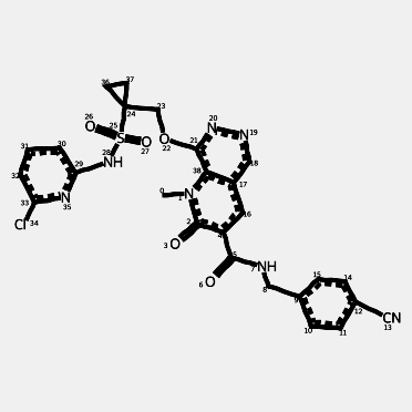 Cn1c(=O)c(C(=O)NCc2ccc(C#N)cc2)cc2cnnc(OCC3(S(=O)(=O)Nc4cccc(Cl)n4)CC3)c21